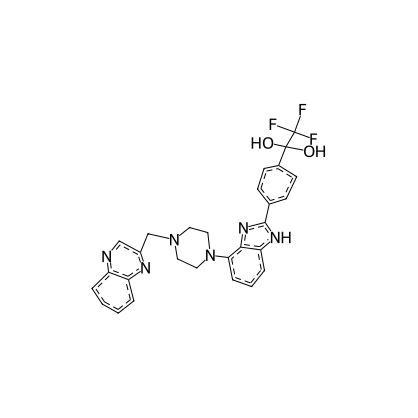 OC(O)(c1ccc(-c2nc3c(N4CCN(Cc5cnc6ccccc6n5)CC4)cccc3[nH]2)cc1)C(F)(F)F